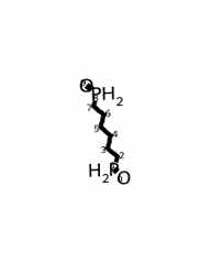 O=[PH2]CCCCCC[PH2]=O